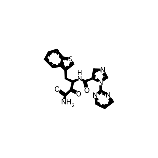 NC(=O)C(=O)C(Cc1csc2ccccc12)NC(=O)c1cncn1-c1ncccn1